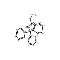 CC(C)(C)CC(=O)NC(c1ccccc1)(c1ccccc1)c1ccccc1